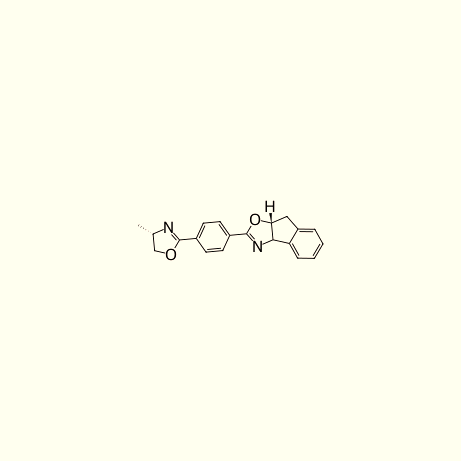 C[C@H]1COC(c2ccc(C3=NC4c5ccccc5C[C@H]4O3)cc2)=N1